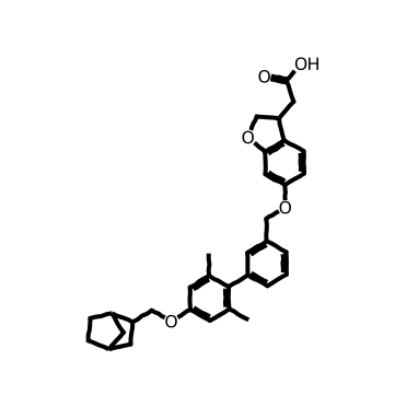 Cc1cc(OCC2CC3CCC2C3)cc(C)c1-c1cccc(COc2ccc3c(c2)OCC3CC(=O)O)c1